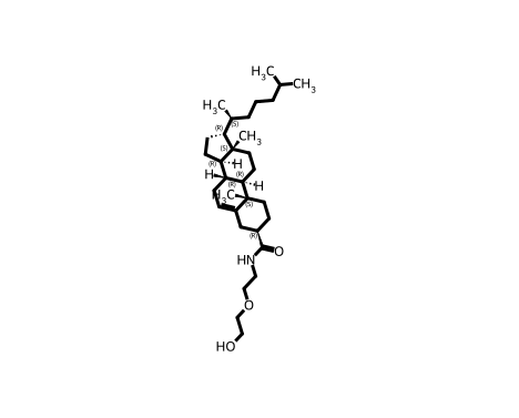 CC(C)CCC[C@H](C)[C@H]1CC[C@@H]2[C@H]3CC=C4C[C@H](C(=O)NCCOCCO)CC[C@@]4(C)[C@@H]3CC[C@]21C